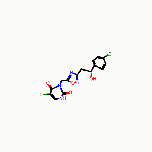 O=c1[nH]cc(Cl)c(=O)n1Cc1nc(C[C@H](O)c2ccc(Cl)cc2)no1